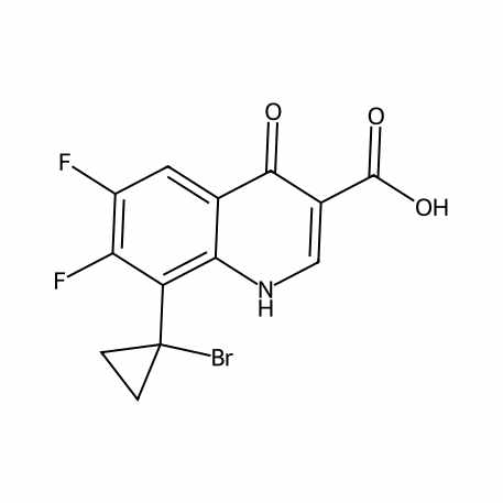 O=C(O)c1c[nH]c2c(C3(Br)CC3)c(F)c(F)cc2c1=O